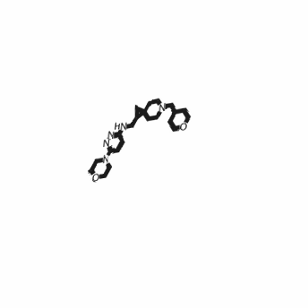 c1cc(N2CCOCC2)nnc1NCC1CC12CCN(CC1CCOCC1)CC2